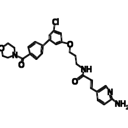 Nc1ccc(C=CC(=O)NCCCOc2cc(Cl)cc(-c3ccc(C(=O)N4CCOCC4)cc3)c2)cn1